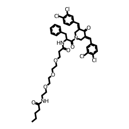 CCCCC(=O)NCCOCCOCCOCCC(=O)NC(Cc1ccccc1)C(=O)N1C/C(=C\c2ccc(Cl)c(Cl)c2)C(=O)/C(=C/c2ccc(Cl)c(Cl)c2)C1